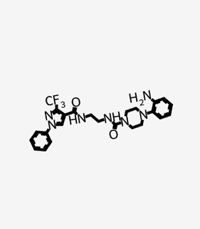 Nc1ccccc1N1CCN(C(=O)NCCNC(=O)c2cn(-c3ccccc3)nc2C(F)(F)F)CC1